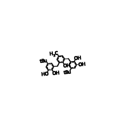 Cc1cc(Cc2cc(C(C)(C)C)cc(O)c2O)c(O)c(Cc2cc(C(C)(C)C)cc(O)c2O)c1